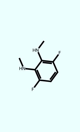 CNc1c(F)ccc(F)c1NC